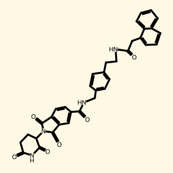 O=C(Cc1cccc2ccccc12)NCCc1ccc(CNC(=O)c2ccc3c(c2)C(=O)N(C2CCC(=O)NC2=O)C3=O)cc1